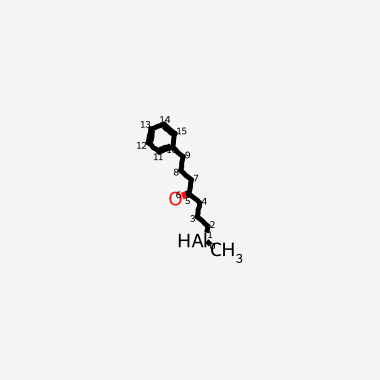 [CH3][AlH][CH2]CCC(=O)CCCc1ccccc1